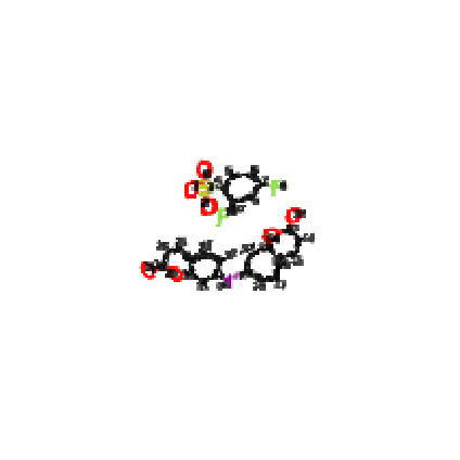 O=S(=O)([O-])c1ccc(F)cc1F.O=c1ccc2ccc([I+]c3ccc4ccc(=O)oc4c3)cc2o1